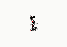 Cc1ccccc1N(c1ccc2cc3c(cc2c1)oc1c(C(C)C)c2c(cc13)oc1cc3cc(N(c4ccccc4C)c4ccccc4C(C)C)ccc3cc12)c1ccccc1C(C)C